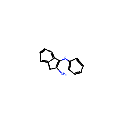 NC1=C(Nc2ccccc2)c2ccccc2C1